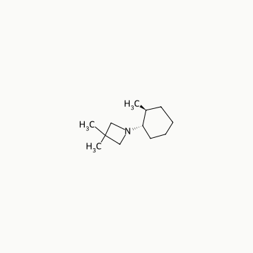 C[C@H]1CCCC[C@@H]1N1CC(C)(C)C1